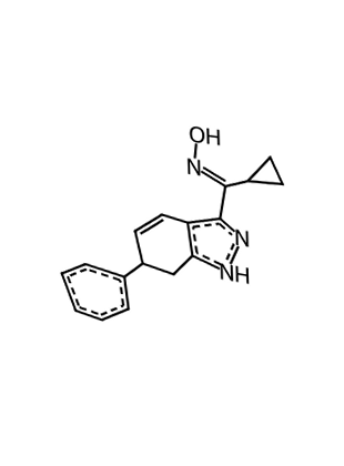 ON=C(c1n[nH]c2c1C=CC(c1ccccc1)C2)C1CC1